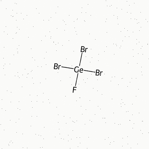 [F][Ge]([Br])([Br])[Br]